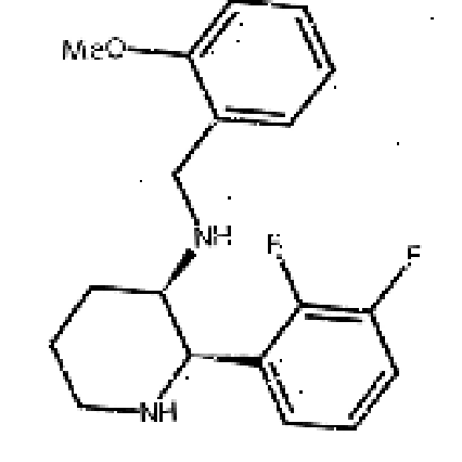 COc1ccccc1CN[C@@H]1CCCN[C@@H]1c1cccc(F)c1F